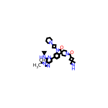 CC(C)n1cnc2cc(-c3ccc4c(c3)N(C3CC(N5CCCCC5)C3)C(=O)C43CCN(C(=O)C4CC5(CNC5)C4)CC3)nc(NC3CC3)c21